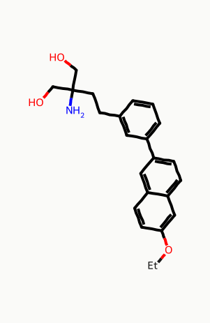 CCOc1ccc2cc(-c3cccc(CCC(N)(CO)CO)c3)ccc2c1